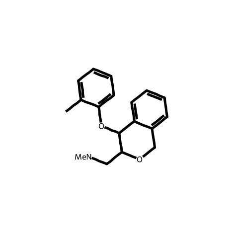 CNCC1OCc2ccccc2C1Oc1ccccc1C